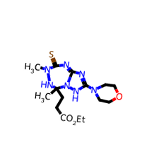 CCOC(=O)CCC1(C)NN(C)C(=S)N=C2N=C(N3CCOCC3)NN21